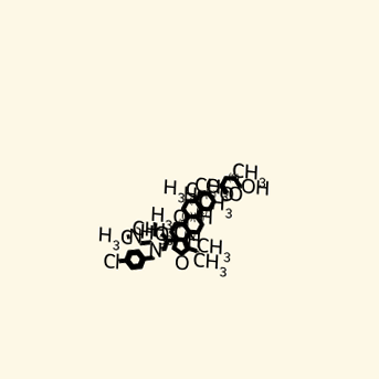 CC(C)C1=C2[C@H]3CC[C@@H]4[C@@]5(C)CC[C@H](OC(=O)C[C@H](C)C(=O)O)C(C)(C)[C@@H]5CC[C@@]4(C)[C@]3(C)CCC2(C(O)CN(CCN(C)C)Cc2ccc(Cl)cc2)CC1=O